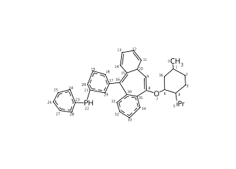 CC1CCC(C(C)C)C(OC2=CC3C=CC=CC3=C(c3cccc(Pc4ccccc4)c3)c3ccccc32)C1